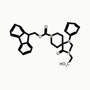 O=C(O)CN1CN(c2ccccc2)C2(CCN(C(=O)OCC3c4ccccc4-c4ccccc43)CC2)C1=O